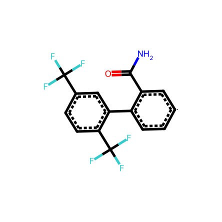 NC(=O)c1c[c]ccc1-c1cc(C(F)(F)F)ccc1C(F)(F)F